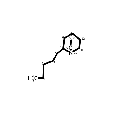 CCCCCC1CC2CCN1CC2